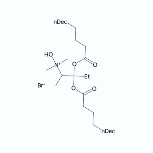 CCCCCCCCCCCCCC(=O)OC(CC)(OC(=O)CCCCCCCCCCCCC)C(C)[N+](C)(C)O.[Br-]